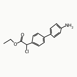 CCOC(=O)C(Cl)c1ccc(-c2ccc(N)cc2)cc1